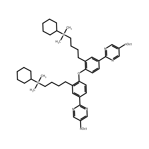 CCCCCCCCc1cnc(-c2ccc(Oc3ccc(-c4ncc(CCCCCCCC)cn4)cc3CCCC[Si](C)(C)C3CCCCC3)c(CCCC[Si](C)(C)C3CCCCC3)c2)nc1